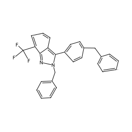 FC(F)(F)c1cccc2c(-c3ccc(Cc4cc[c]cc4)cc3)n(Cc3ccccc3)nc12